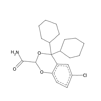 NC(=O)C1Oc2ccc(Cl)cc2C(C2CCCCC2)(C2CCCCC2)O1